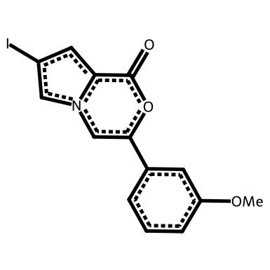 COc1cccc(-c2cn3cc(I)cc3c(=O)o2)c1